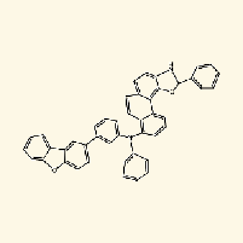 c1ccc(C2Nc3ccc4ccc5c(N(c6ccccc6)c6cccc(-c7ccc8oc9ccccc9c8c7)c6)cccc5c4c3O2)cc1